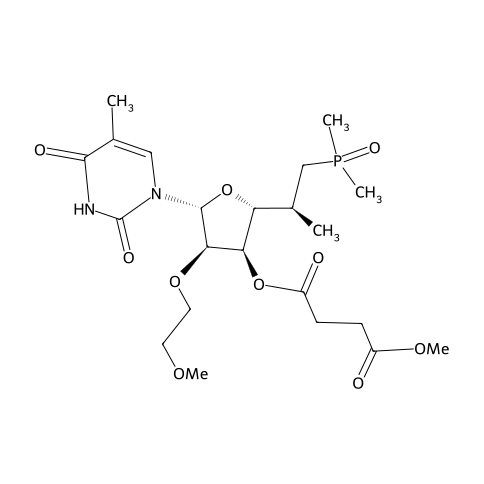 COCCO[C@@H]1[C@H](OC(=O)CCC(=O)OC)[C@@H]([C@H](C)CP(C)(C)=O)O[C@H]1n1cc(C)c(=O)[nH]c1=O